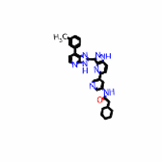 Cc1cccc(-c2ccnc3[nH]c(-c4n[nH]c5ccc(-c6cncc(NC(=O)CC7CCCCC7)c6)nc45)nc23)c1